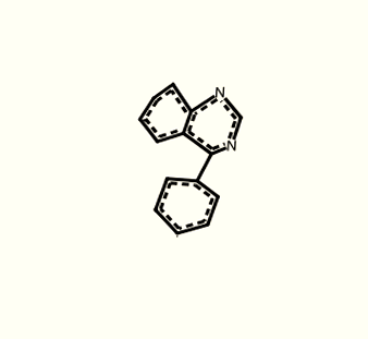 [c]1ccc(-c2ncnc3ccccc23)cc1